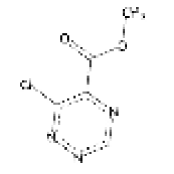 COC(=O)c1ncnnc1Cl